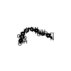 N#Cc1ccc(O[C@H]2CC[C@H](C(=O)Nc3cnc(N4CCC(CN5CCN(c6ccc7c(c6)C(=O)N(C6CCC(=O)NC6=O)C7=O)CC5)CC4)cn3)C2)cc1Cl